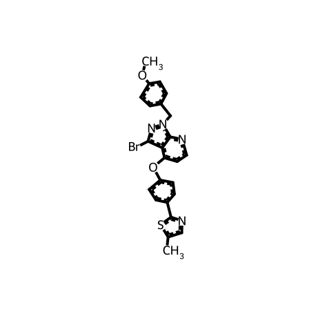 COc1ccc(Cn2nc(Br)c3c(Oc4ccc(-c5ncc(C)s5)cc4)ccnc32)cc1